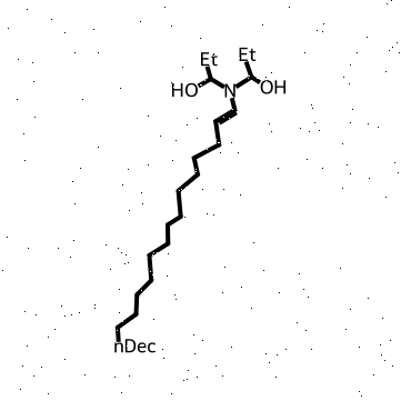 CCCCCCCCCCCCCCCCCCCCCCC=CN(C(O)CC)C(O)CC